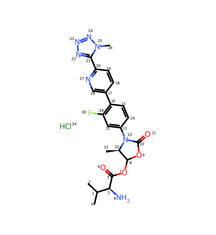 CC(C)[C@H](N)C(=O)OC1OC(=O)N(c2ccc(-c3ccc(-c4nnnn4C)nc3)c(F)c2)[C@@H]1C.Cl